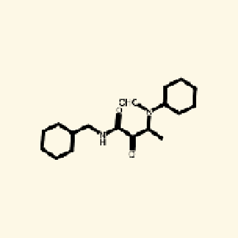 CC(C(=O)C(=O)NCC1CCCCC1)N(C=O)C1CCCCC1